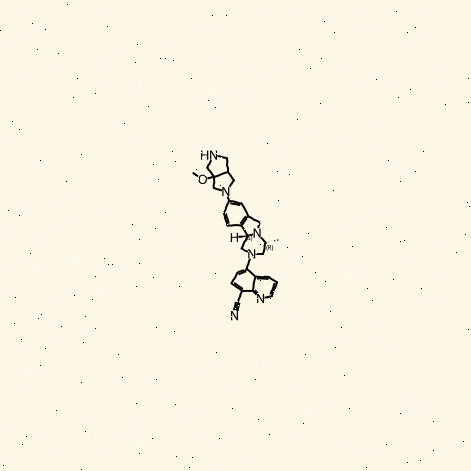 COC12CNCC1CN(c1ccc3c(c1)CN1[C@H](C)CN(c4ccc(C#N)c5ncccc45)C[C@H]31)C2